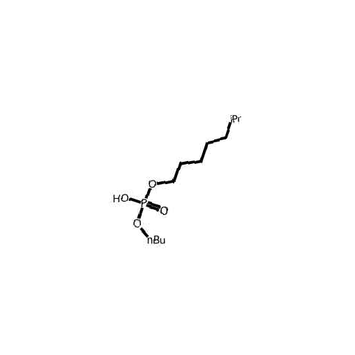 CCCCOP(=O)(O)OCCCCCC(C)C